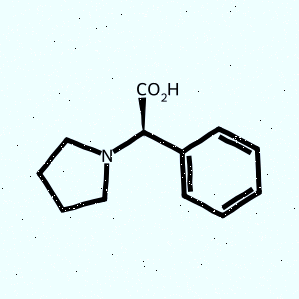 O=C(O)[C@@H](c1ccccc1)N1CCCC1